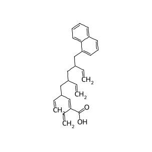 C=CC(=CC(C=C)CC(C=C)CC(C=C)Cc1cccc2ccccc12)C(=O)O